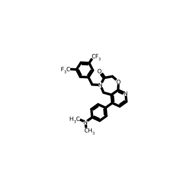 CN(C)c1ccc(-c2ccnc3c2CN(Cc2cc(C(F)(F)F)cc(C(F)(F)F)c2)C(=O)CO3)cc1